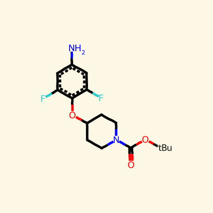 CC(C)(C)OC(=O)N1CCC(Oc2c(F)cc(N)cc2F)CC1